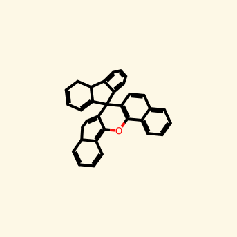 C1=CCC2C(=C1)C1(C3=CCC4C=CC=CC4=C3Oc3c1ccc1ccccc31)c1ccccc12